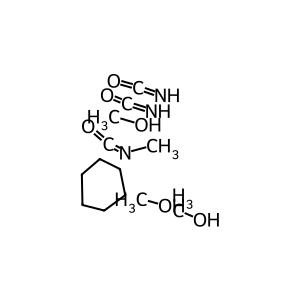 C1CCCCC1.CN=C=O.CO.CO.CO.N=C=O.N=C=O